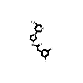 O=C(Cc1cc(Cl)cc(Cl)c1)N[C@@H]1CCN(c2cncc(C(F)(F)F)c2)C1